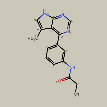 N#CCC(=O)Nc1cccc(-c2ncnc3[nH]cc(C(=O)O)c23)c1